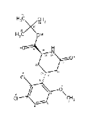 COc1ccc(Cl)c(Cl)c1[C@H]1CC(=O)N[C@H](C(=O)OC(C)(C)C)C1